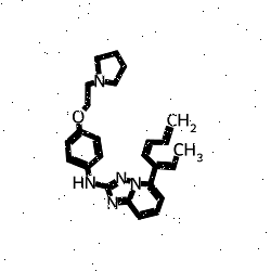 C=C/C=C\C(=C/C)c1cccc2nc(Nc3ccc(OCCN4CCCC4)cc3)nn12